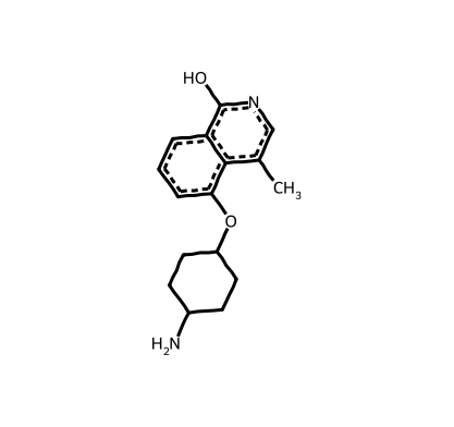 Cc1cnc(O)c2cccc(OC3CCC(N)CC3)c12